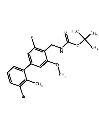 COc1cc(-c2cccc(Br)c2C)cc(F)c1CNC(=O)OC(C)(C)C